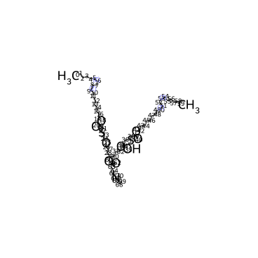 CCCCC/C=C\C/C=C\CCCCCCCCOC(=O)CSCCOCCCC(CCCO[C@@H](O)CSCC(=O)OCCCCCCCC/C=C\C/C=C\CCCCC)OC(=O)CCCN1CCCC1